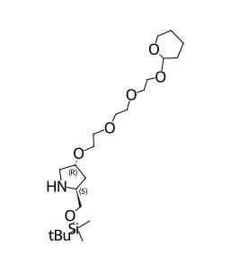 CC(C)(C)[Si](C)(C)OC[C@@H]1C[C@@H](OCCOCCOCCOC2CCCCO2)CN1